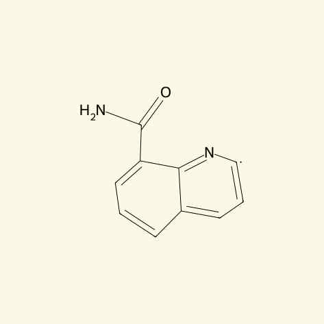 NC(=O)c1cccc2cc[c]nc12